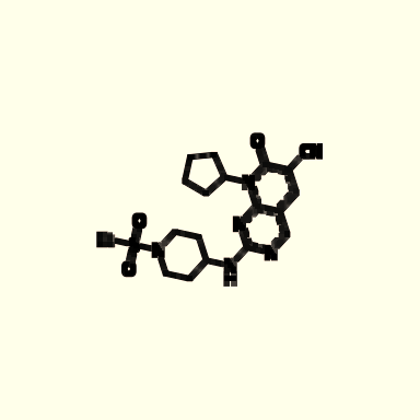 CCS(=O)(=O)N1CCC(Nc2ncc3cc(C#N)c(=O)n(C4CCCC4)c3n2)CC1